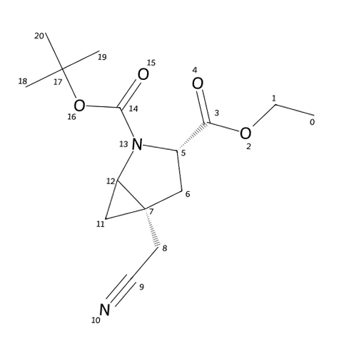 CCOC(=O)[C@@H]1C[C@@]2(CC#N)CC2N1C(=O)OC(C)(C)C